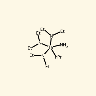 CC[CH2][Ta]([NH2])([N](CC)CC)([N](CC)CC)[N](CC)CC